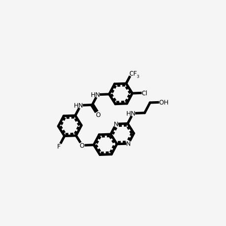 O=C(Nc1ccc(F)c(Oc2ccc3ncc(NCCO)nc3c2)c1)Nc1ccc(Cl)c(C(F)(F)F)c1